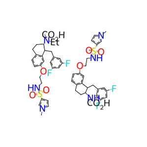 CCN(C(=O)O)C1CCc2ccc(OCCNS(=O)(=O)c3ccn(C)c3)cc2C1Cc1cc(F)cc(F)c1.Cn1ccc(S(=O)(=O)NCCOc2ccc3c(c2)C(Cc2cc(F)cc(F)c2)C(NC(=O)O)CC3)c1